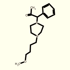 COCCCCN1CCN(C(C(C)=O)c2ccccc2)CC1